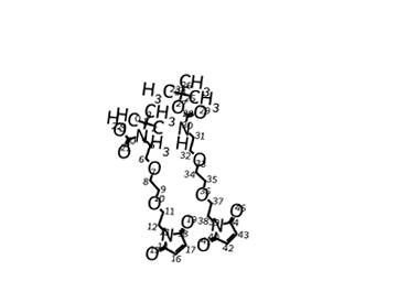 CC(C)(C)N(CCOCCOCCN1C(=O)C=CC1=O)C(=O)O.CC(C)(C)OC(=O)NCCOCCOCCN1C(=O)C=CC1=O